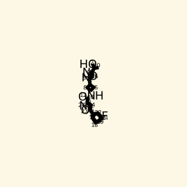 CC(O)c1nnc(C2CC(NC(=O)c3cc(-c4cccc(F)c4)on3)C2)o1